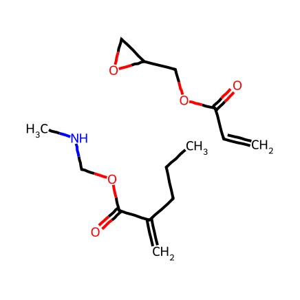 C=C(CCC)C(=O)OCNC.C=CC(=O)OCC1CO1